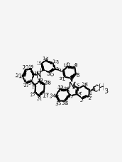 CC1C=Cc2c(n(-c3cccc(-c4cccc(-n5c6ccccc6c6ccccc65)c4)c3)c3ccccc23)C1